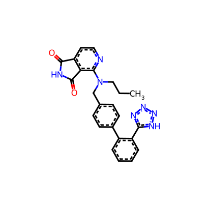 CCCN(Cc1ccc(-c2ccccc2-c2nnn[nH]2)cc1)c1nccc2c1C(=O)NC2=O